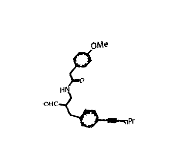 CCCC#Cc1ccc(CC([C]=O)CNC(=O)Cc2ccc(OC)cc2)cc1